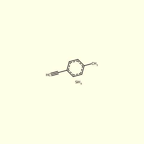 C#Cc1ccc(C)cc1.[SiH4]